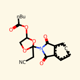 CCCCC(=O)OC1COC(CC#N)(N2C(=O)c3ccccc3C2=O)O1